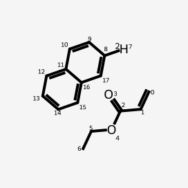 C=CC(=O)OCC.[2H]c1ccc2ccccc2c1